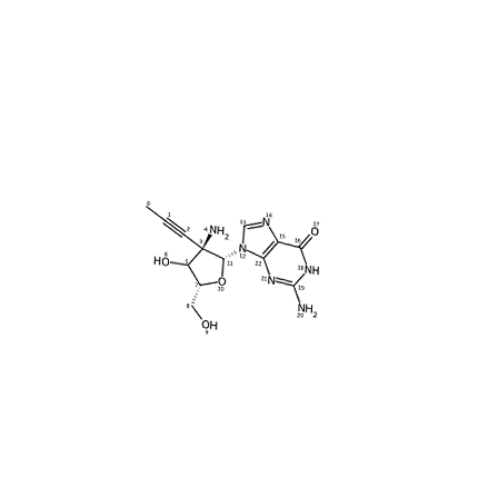 CC#C[C@@]1(N)C(O)[C@@H](CO)O[C@H]1n1cnc2c(=O)[nH]c(N)nc21